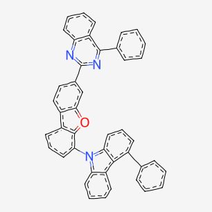 c1ccc(-c2nc(-c3ccc4c(c3)oc3c(-n5c6ccccc6c6c(-c7ccccc7)cccc65)cccc34)nc3ccccc23)cc1